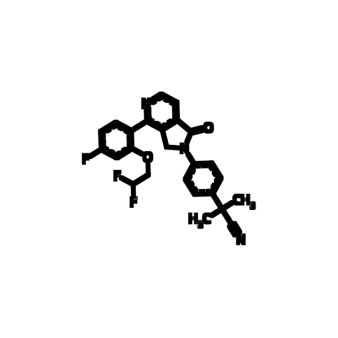 CC(C)(C#N)c1ccc(N2Cc3c(ccnc3-c3ccc(F)cc3OCC(F)F)C2=O)cc1